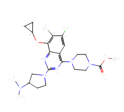 CN(C)C1CCN(c2nc(N3CCN(C(=O)OC(C)(C)C)CC3)c3cc(Cl)c(Br)c(OC4CC4)c3n2)C1